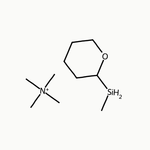 C[N+](C)(C)C.C[SiH2]C1CCCCO1